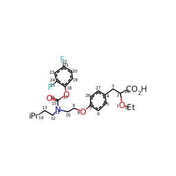 CCOC(Cc1ccc(OCCN(CCC(C)C)C(=O)Oc2ccc(F)cc2F)cc1)C(=O)O